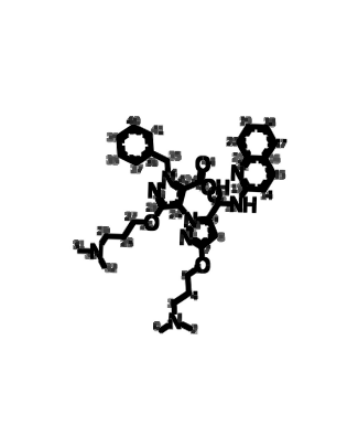 CN(C)CCCOc1cc(C(=O)Nc2ccc3ccccc3n2)n(-c2c(OCCCN(C)C)nn(Cc3ccccc3)c2C(=O)O)n1